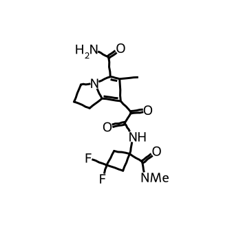 CNC(=O)C1(NC(=O)C(=O)c2c(C)c(C(N)=O)n3c2CCC3)CC(F)(F)C1